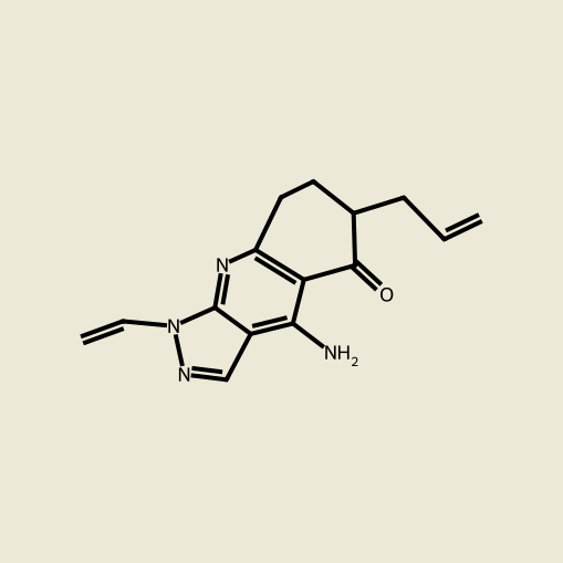 C=CCC1CCc2nc3c(cnn3C=C)c(N)c2C1=O